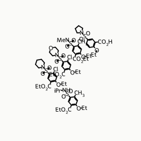 CCOC(=O)c1cc(S(=O)(=O)N2CCCCC2)c(Cl)cc1OCC.CCOC(=O)c1cc(S(=O)(=O)N2CCOCC2)c(Cl)cc1OCC.CCOC(=O)c1cc(S(=O)(=O)NC(C)C)c(C)cc1OCC.CCOC(=O)c1cc(S(=O)(=O)NC)c(C)cc1OCC.CCOc1ccc(S(=O)(=O)N2CCCC2)cc1C(=O)O